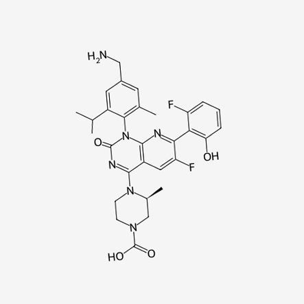 Cc1cc(CN)cc(C(C)C)c1-n1c(=O)nc(N2CCN(C(=O)O)C[C@@H]2C)c2cc(F)c(-c3c(O)cccc3F)nc21